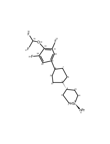 CCC[Si@H]1CC[C@H](C2CCC(c3cc(F)c(OC(F)F)c(F)c3)CC2)CC1